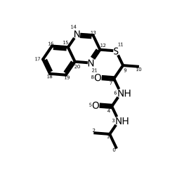 CC(C)NC(=O)NC(=O)C(C)Sc1cnc2ccccc2n1